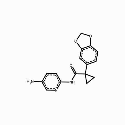 Nc1ccc(NC(=O)C2(c3ccc4c(c3)OCO4)CC2)nc1